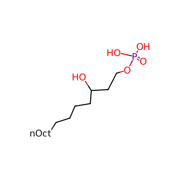 CCCCCCCCCCCCC(O)CCOP(=O)(O)O